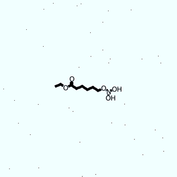 CCOC(=O)CCCCCON(O)O